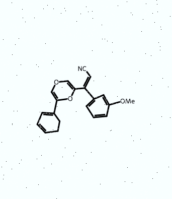 COc1cccc(C(=CC#N)C2=COC=C(C3=CC=CCC3)O2)c1